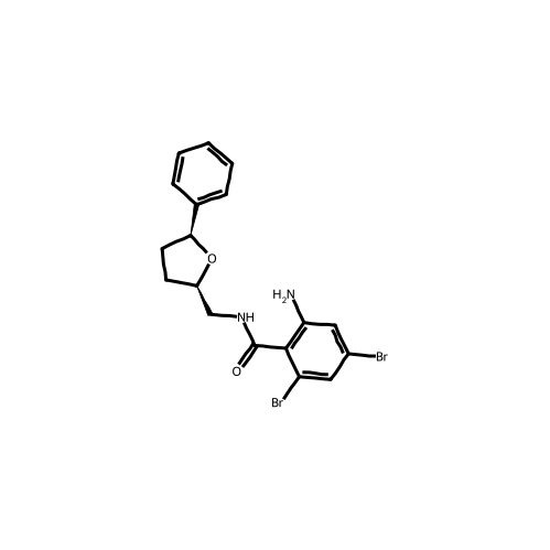 Nc1cc(Br)cc(Br)c1C(=O)NC[C@H]1CC[C@@H](c2ccccc2)O1